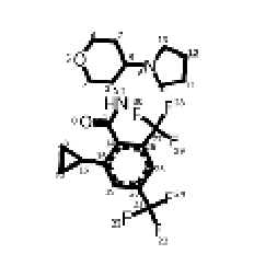 O=C(N[C@@H]1COCCC1N1CCCC1)c1c(C2CC2)cc(C(F)(F)F)cc1C(F)(F)F